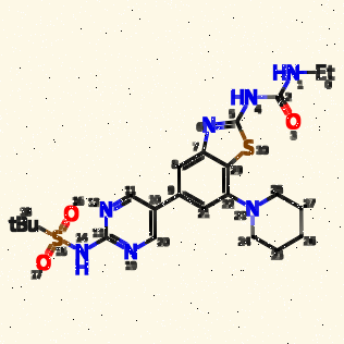 CCNC(=O)Nc1nc2cc(-c3cnc(NS(=O)(=O)C(C)(C)C)nc3)cc(N3CCCCC3)c2s1